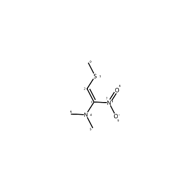 CSC=C(N(C)C)[N+](=O)[O-]